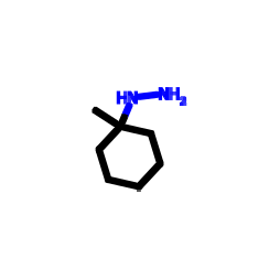 CC1(NN)CC[CH]CC1